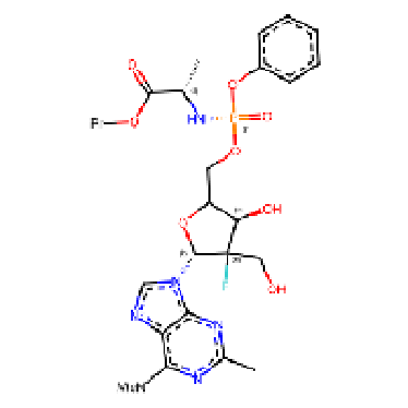 CNc1nc(C)nc2c1ncn2[C@@H]1OC(CO[P@@](=O)(N[C@@H](C)C(=O)OC(C)C)Oc2ccccc2)[C@@H](O)[C@]1(F)CO